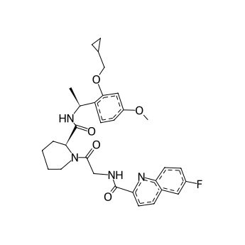 COc1ccc([C@H](C)NC(=O)[C@@H]2CCCCN2C(=O)CNC(=O)c2ccc3cc(F)ccc3n2)c(OCC2CC2)c1